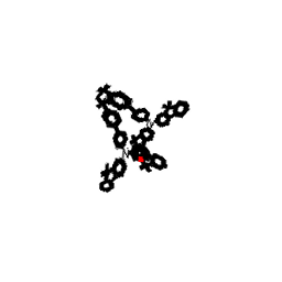 CC1(C)CC(C)(c2ccc(-c3ccc(N(c4ccc5c(c4)C(C)(C)c4ccccc4-5)c4ccc5c(c4)C(C)(C)c4ccccc4-5)cc3)cc2)c2cc(-c3ccc(N(c4ccc5c(c4)C(C)(C)c4ccccc4-5)c4ccc5c(c4)C(C)(C)c4ccccc4-5)cc3)ccc21